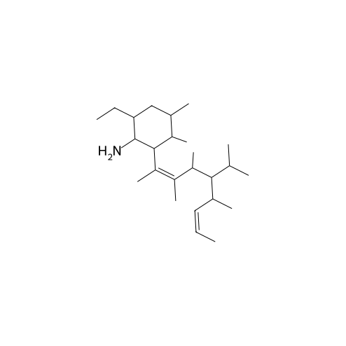 C/C=C\C(C)C(C(C)C)C(C)/C(C)=C(/C)C1C(C)C(C)CC(CC)C1N